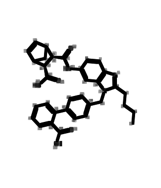 CCCCc1nc2ccc(NC(=O)[C@@H]3C4C=CC(C4)[C@@H]3C(=O)O)cc2n1Cc1ccc(-c2ccccc2C(=O)O)cc1